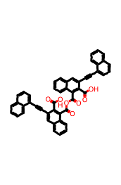 O=C(O)c1c(C#Cc2cccc3ccccc23)cc2ccccc2c1C(=O)OC(=O)c1c(C(=O)O)c(C#Cc2cccc3ccccc23)cc2ccccc12